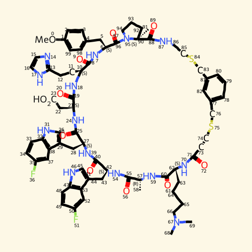 COc1ccc(C[C@@H]2NC(=O)[C@H](CCc3ncc[nH]3)NC(=O)[C@H](CC(=O)O)NC(=O)[C@H](Cc3c[nH]c4ccc(F)cc34)NC(=O)[C@H](Cc3c[nH]c4ccc(F)cc34)NC(=O)[C@@H](C)NC(=O)[C@H](CCCCN(C)C)NC(=O)CCSCc3cccc(c3)CSCCNC(=O)[C@]3(C)CCCN3C2=O)cc1